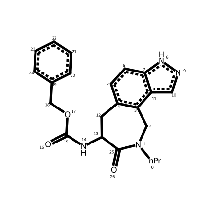 CCCN1Cc2c(ccc3[nH]ncc23)CC(NC(=O)OCc2ccccc2)C1=O